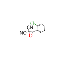 N#CC1(C#N)OC1c1ccccc1Cl